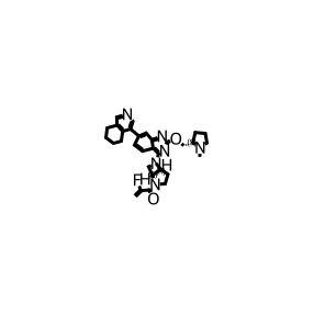 C=C(F)C(=O)N1CC[C@@H]2[C@H]1CN2c1nc(OC[C@@H]2CCCN2C)nc2cc(-c3cncc4c3CCCC4)ccc12